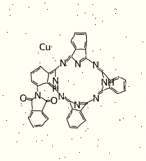 O=C1c2ccccc2C(=O)N1c1cccc2c3nc4nc(nc5[nH]c(nc6nc(nc([nH]3)c12)-c1ccccc1-6)c1ccccc51)-c1ccccc1-4.[Cu]